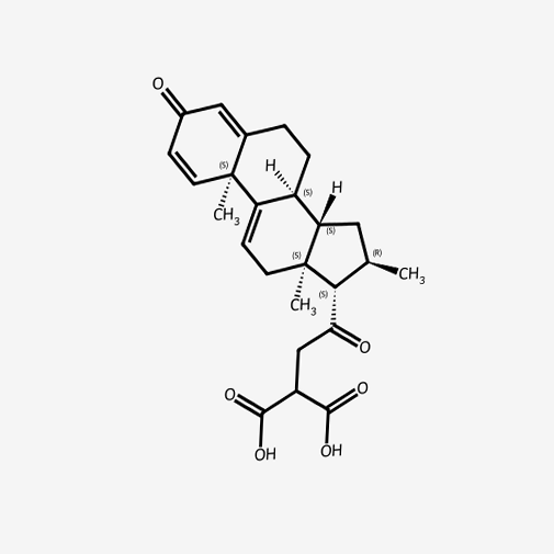 C[C@@H]1C[C@H]2[C@@H]3CCC4=CC(=O)C=C[C@]4(C)C3=CC[C@]2(C)[C@H]1C(=O)CC(C(=O)O)C(=O)O